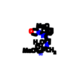 C=C(/C=C\CC(=C)N1CC/C(=C(/N=C(\C)N2CCOCC2)c2cccc(OC)c2)C1=C)OC